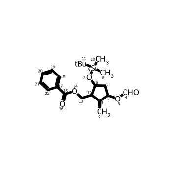 C=C1C(OC=O)CC(O[Si](C)(C)C(C)(C)C)C1COC(=O)c1ccccc1